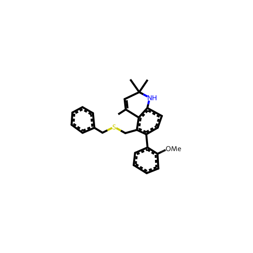 COc1ccccc1-c1ccc2c(c1CSCc1ccccc1)C(C)=CC(C)(C)N2